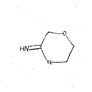 N=C1COCC[N]1